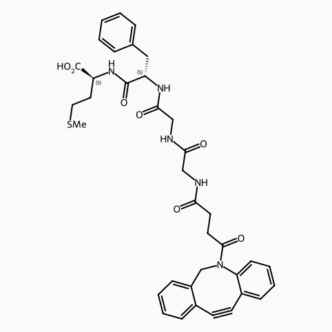 CSCC[C@H](NC(=O)[C@H](Cc1ccccc1)NC(=O)CNC(=O)CNC(=O)CCC(=O)N1Cc2ccccc2C#Cc2ccccc21)C(=O)O